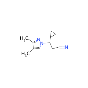 Cc1cn(C(CC#N)C2CC2)nc1C